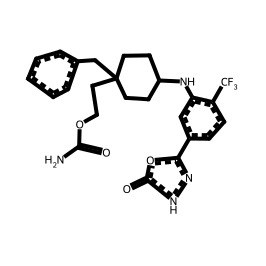 NC(=O)OCCC1(Cc2ccccc2)CCC(Nc2cc(-c3n[nH]c(=O)o3)ccc2C(F)(F)F)CC1